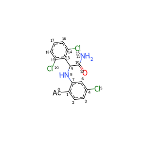 CC(=O)c1ccc(Cl)cc1NC(C(N)=O)c1c(Cl)cccc1Cl